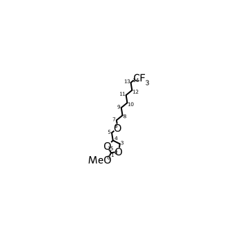 COC1OCC(COCCCCCCCC(F)(F)F)O1